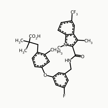 Cc1cc(Oc2cc(F)cc(CNC(=O)c3c(C)c4cc(C(F)(F)F)ccc4n3C)c2)ccc1CC(C)(C)C(=O)O